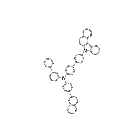 c1ccc(-c2cccc(N(c3ccc(-c4ccc(-n5c6ccccc6c6c7ccccc7ccc65)cc4)cc3)c3ccc(-c4ccc5ccccc5c4)cc3)c2)cc1